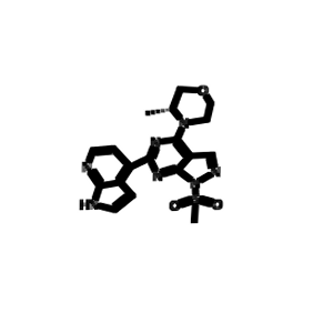 C[C@@H]1COCCN1c1nc(-c2ccnc3[nH]ccc23)nc2c1cnn2S(C)(=O)=O